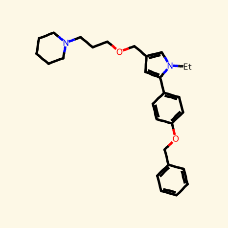 CCn1cc(COCCCN2CCCCC2)cc1-c1ccc(OCc2ccccc2)cc1